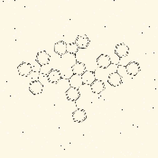 c1ccc(-c2ccc3c(c2)B2c4ccccc4N(c4cccc([Si](c5ccccc5)(c5ccccc5)c5ccccc5)c4)c4cc(-n5c6ccccc6c6ccccc65)cc(c42)N3c2ccc([Si](c3ccccc3)(c3ccccc3)c3ccccc3)cc2)cc1